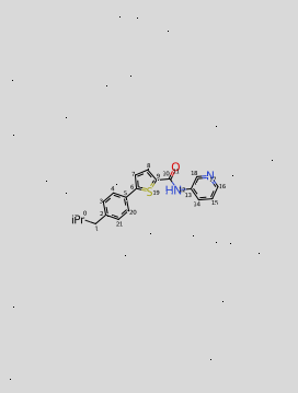 CC(C)Cc1ccc(-c2ccc(C(=O)Nc3cccnc3)s2)cc1